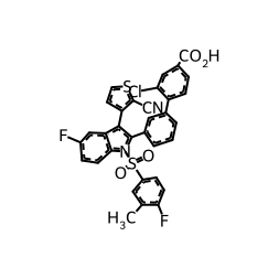 Cc1cc(S(=O)(=O)n2c(-c3cccc(-c4ccc(C(=O)O)cc4Cl)c3)c(-c3ccsc3C#N)c3cc(F)ccc32)ccc1F